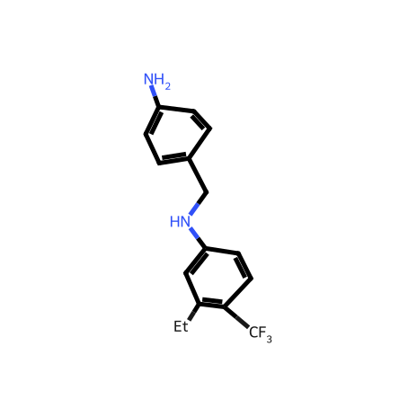 CCc1cc(NCc2ccc(N)cc2)ccc1C(F)(F)F